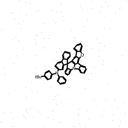 CC(C)(C)c1ccc(N(c2ccccc2)c2ccc3c(c2)C2(c4ccccc4-3)c3ccccc3-n3c4ccccc4c4c5oc6ccccc6c5cc2c43)cc1